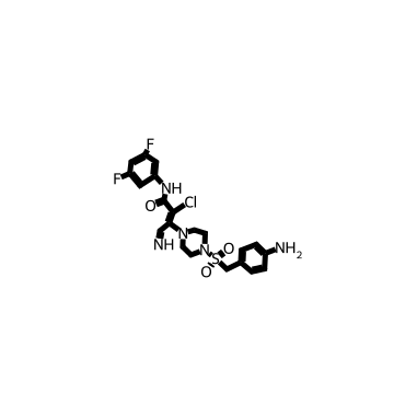 N=C/C(=C(/Cl)C(=O)Nc1cc(F)cc(F)c1)N1CCN(S(=O)(=O)Cc2ccc(N)cc2)CC1